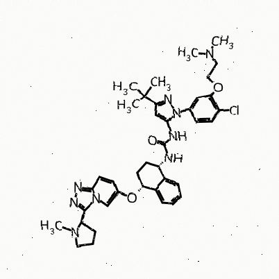 CN(C)CCOc1cc(-n2nc(C(C)(C)C)cc2NC(=O)N[C@H]2CC[C@@H](Oc3ccc4nnc(C5CCCN5C)n4c3)c3ccccc32)ccc1Cl